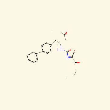 CCOC(=O)c1coc(N[C@@H](CC(C)=O)Cc2ccc(-c3ccccc3)cc2)n1